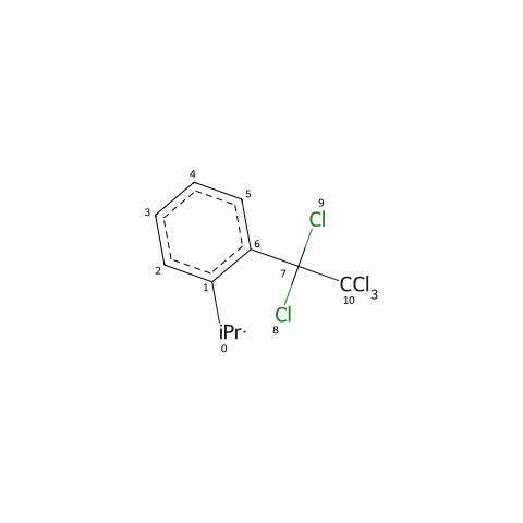 C[C](C)c1ccccc1C(Cl)(Cl)C(Cl)(Cl)Cl